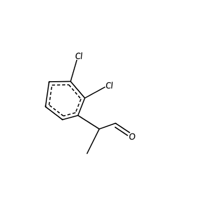 CC(C=O)c1cccc(Cl)c1Cl